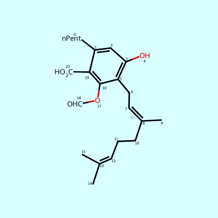 CCCCCc1cc(O)c(C/C=C(\C)CCC=C(C)C)c(OC=O)c1C(=O)O